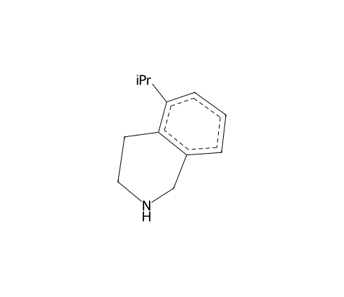 CC(C)c1cccc2c1CCNC2